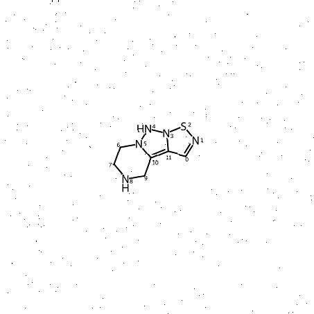 C1=NSN2NN3CCNCC3=C12